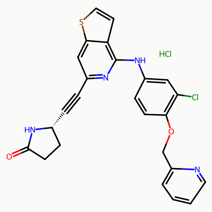 Cl.O=C1CC[C@@H](C#Cc2cc3sccc3c(Nc3ccc(OCc4ccccn4)c(Cl)c3)n2)N1